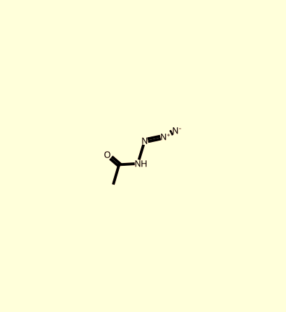 CC(=O)NN=[N+]=[N-]